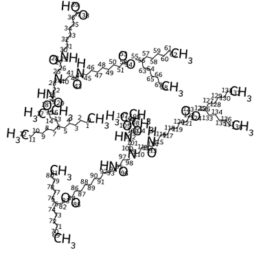 CCCCCCC(CCCCCC)CCC(C)(C)OC(=O)NCCN(CCC(=O)NCCCCCCCC(=O)O)CCC(=O)NCCCCCCCC(=O)OCC(CCCCCC)CCCCCC.CCCCCCC(CCCCCC)COC(=O)CCCCCCCCNC(=O)CCN(CCNC(=O)OC(C)(C)C)CCC(=O)NCCCCCCCC(=O)OCC(CCCCCC)CCCCCC